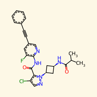 CC(C)C(=O)N[C@H]1C[C@@H](n2ncc(Cl)c2C(=O)Nc2ncc(C#Cc3ccccc3)cc2F)C1